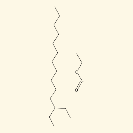 CCCCCCCCCCCC(CC)CC.CCO[C]=O